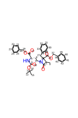 CC1C(=O)N(CC[C@H](NC(=O)OC(C)(C)C)C(=O)OCc2ccccc2)C1(Cc1ccccc1)C(=O)OCc1ccccc1